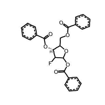 O=C(OCC1OC(OC(=O)c2ccccc2)C(F)[C@@H]1OC(=O)c1ccccc1)c1ccccc1